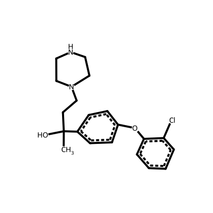 CC(O)(CCN1CCNCC1)c1ccc(Oc2ccccc2Cl)cc1